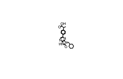 CC(C(=O)O)c1ccc(-c2cnc3[nH]c(=O)n(CC4CCCCC4)c3n2)cc1